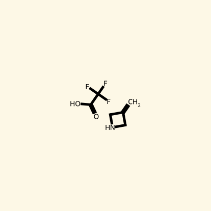 C=C1CNC1.O=C(O)C(F)(F)F